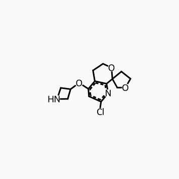 Clc1cc(OC2CNC2)c2c(n1)C1(CCOC1)OCC2